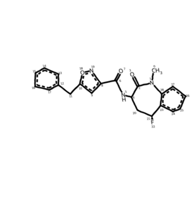 CN1C(=O)C(NC(=O)c2cc(Cc3ccccc3)on2)C[C@H](F)c2ccccc21